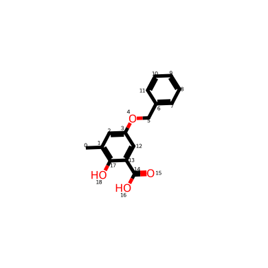 Cc1cc(OCc2ccccc2)cc(C(=O)O)c1O